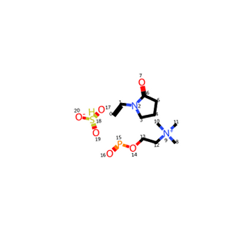 C=CN1CCCC1=O.C[N+](C)(C)CCOP=O.O=[SH](=O)[O-]